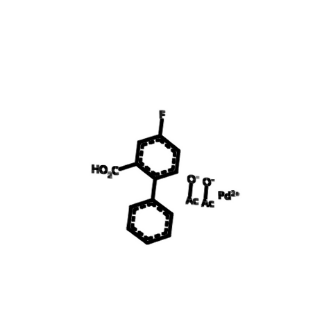 CC(=O)[O-].CC(=O)[O-].O=C(O)c1cc(F)ccc1-c1ccccc1.[Pd+2]